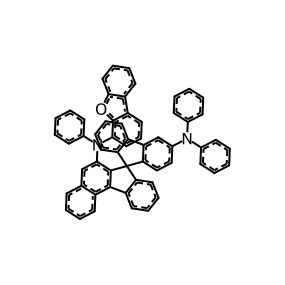 c1ccc(N(c2ccccc2)c2ccc3c(c2)-c2ccccc2C32c3ccccc3-c3c2c(N(c2ccccc2)c2cccc4c2oc2ccccc24)cc2ccccc32)cc1